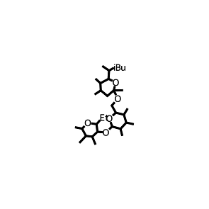 CCC(C)C(C)C1OC(C)(OCC2OC(OC3C(CC)OC(C)C(C)C3C)C(C)C(C)C2C)CC(C)C1C